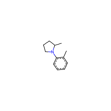 Cc1ccccc1N1CCCC1C